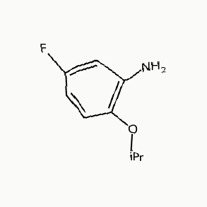 CC(C)Oc1ccc(F)cc1N